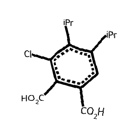 CC(C)c1cc(C(=O)O)c(C(=O)O)c(Cl)c1C(C)C